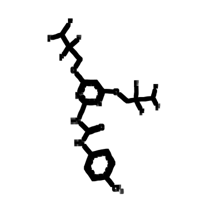 O=C(Nc1ccc(C(F)(F)F)cc1)Nc1nc(OCC(F)(F)C(F)F)cc(OCC(F)(F)C(F)F)n1